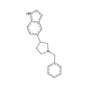 c1ccc(CN2CCC(c3ccc4[nH]ccc4c3)C2)cc1